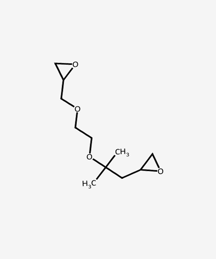 CC(C)(CC1CO1)OCCOCC1CO1